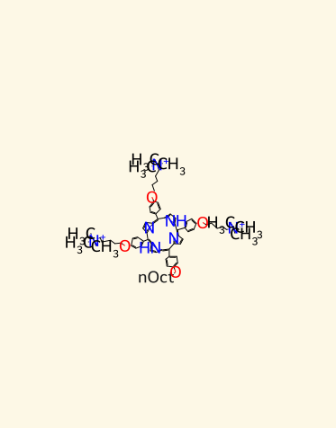 CCCCCCCCOc1ccc(-c2c3nc(c(-c4ccc(OCCCCC[N+](C)(C)C)cc4)c4ccc([nH]4)c(-c4ccc(OCCCCC[N+](C)(C)C)cc4)c4nc(c(-c5ccc(OCCCCC[N+](C)(C)C)cc5)c5ccc2[nH]5)C=C4)C=C3)cc1